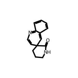 O=C1NCCCC12C=CN=c1ccccc1=C2